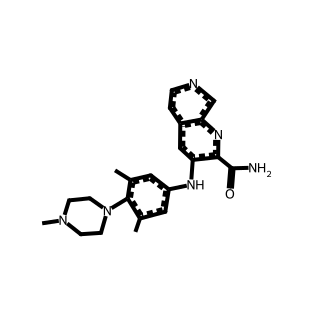 Cc1cc(Nc2cc3ccncc3nc2C(N)=O)cc(C)c1N1CCN(C)CC1